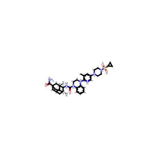 Cc1cc(N2CCN(S(=O)(=O)C3CC3)CC2)cnc1N1CCN(C(=O)NC2[C@@H]3CC4C[C@H]2CC(C(N)=O)(C4)C3)c2ccccc21